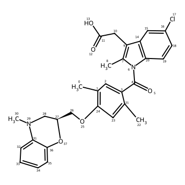 Cc1cc(C(=O)n2c(C)c(CC(=O)O)c3cc(Cl)ccc32)c(C)cc1OC[C@@H]1CN(C)c2ccccc2O1